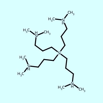 C[SiH](C)CCC[Si](CCC[SiH](C)C)(CCC[SiH](C)C)CCC[SiH](C)C